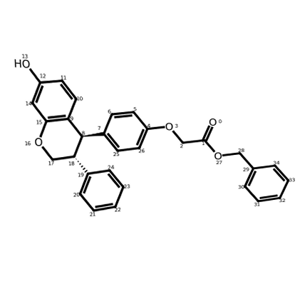 O=C(COc1ccc([C@@H]2c3ccc(O)cc3OC[C@H]2c2ccccc2)cc1)OCc1ccccc1